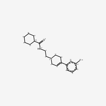 O=C(NCCN1CC=C(c2cccc(F)n2)CC1)C1CCCCC1